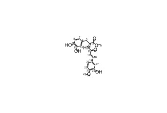 COC(=O)C(Cc1ccc(O)c(O)c1)NC(=O)C=Cc1ccc(OC)c(O)c1